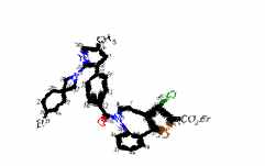 CCOC(=O)c1sc2c(c1Cl)CCN(C(=O)c1ccc(-c3cc(C)cnc3N3CC4(CCC(CC)CC4)C3)cc1)c1ccccc1-2